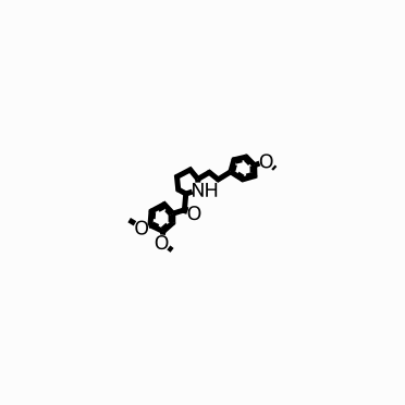 COc1ccc(CCC2CCCC(C(=O)c3ccc(OC)c(OC)c3)N2)cc1